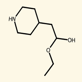 CCOC(O)CC1CCNCC1